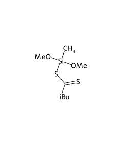 CCC(C)C(=S)S[Si](C)(OC)OC